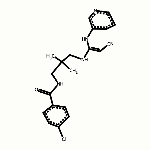 CC(C)(CNC(=O)c1ccc(Cl)cc1)CNC(=CC#N)Nc1cccnc1